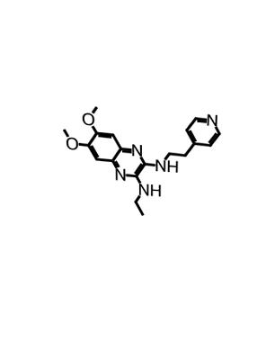 CCNc1nc2cc(OC)c(OC)cc2nc1NCCc1ccncc1